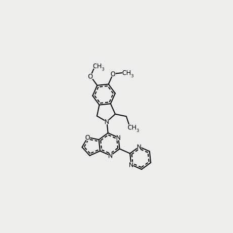 CCC1c2cc(OC)c(OC)cc2CN1c1nc(-c2ncccn2)nc2ccoc12